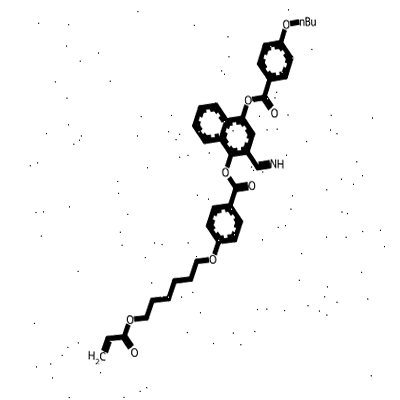 C=CC(=O)OCCCCCCOc1ccc(C(=O)Oc2c(C=N)cc(OC(=O)c3ccc(OCCCC)cc3)c3ccccc23)cc1